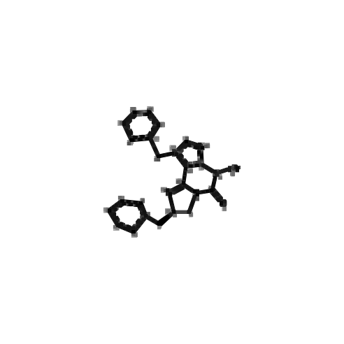 CCCN1C(=O)N2C[C@@H](Cc3ccccc3)N=C2c2c1ncn2Cc1ccccc1